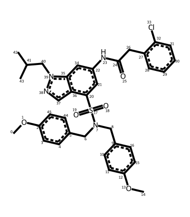 COc1ccc(CN(Cc2ccc(OC)cc2)S(=O)(=O)c2cc(NC(=O)Cc3ccccc3Cl)cc3c2cnn3CC(C)C)cc1